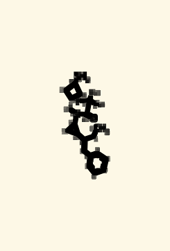 CC/C(=C\c1ccccc1)C1CC1N(C[C@H]1C[C@H](N)C1)C(=O)C(F)(F)F